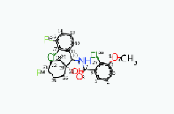 COc1cccc(C(=O)NC(c2cccc(F)c2Cl)[C@]2(O)CC[C@@H](F)CC2)c1Cl